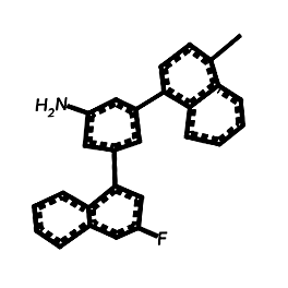 Cc1ccc(-c2cc(N)cc(-c3cc(F)cc4ccccc34)c2)c2ccccc12